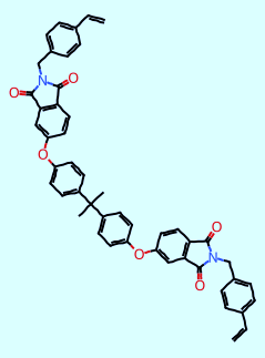 C=Cc1ccc(CN2C(=O)c3ccc(Oc4ccc(C(C)(C)c5ccc(Oc6ccc7c(c6)C(=O)N(Cc6ccc(C=C)cc6)C7=O)cc5)cc4)cc3C2=O)cc1